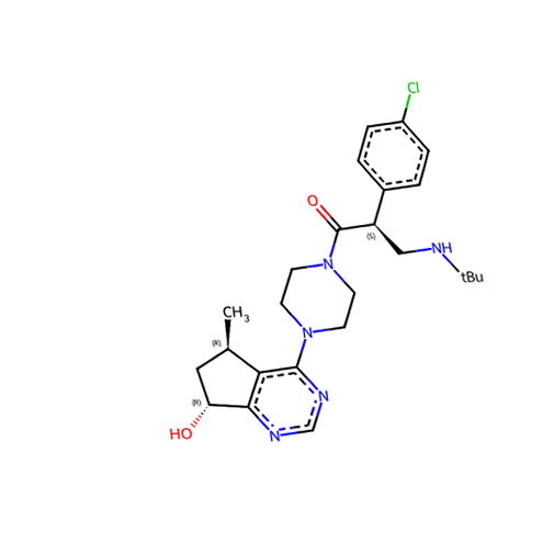 C[C@@H]1C[C@@H](O)c2ncnc(N3CCN(C(=O)[C@H](CNC(C)(C)C)c4ccc(Cl)cc4)CC3)c21